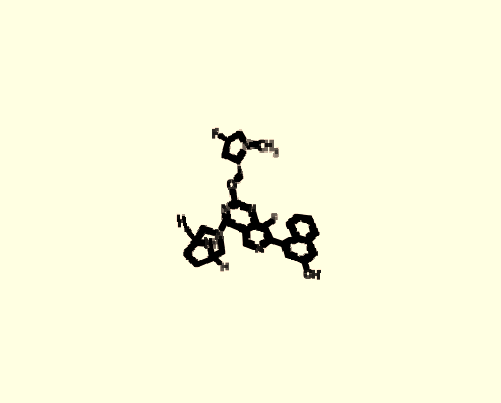 CN1C[C@H](F)C[C@H]1COc1nc(N2C[C@H]3CC[C@@H](C2)N3)c2cnc(-c3cc(O)cc4ccccc34)c(F)c2n1